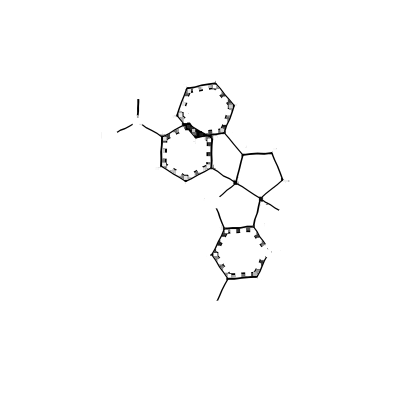 C[S+]([O-])c1ccc(C23Oc4cc(Cl)cnc4C2(O)CCC3c2ccccc2)cc1